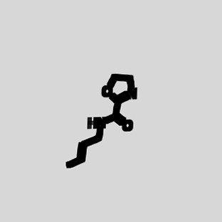 CC=CCNC(=O)C1=NCCO1